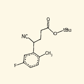 Cc1ccc(F)cc1C(C#N)CCC(=O)OC(C)(C)C